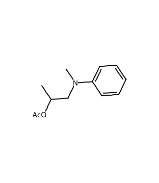 CC(=O)OC(C)CN(C)c1ccccc1